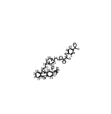 CC(=O)c1ccc(SC(C)C(=O)OCCN2CCN(CCCN3c4ccccc4Sc4ccc(C(F)(F)F)cc43)CC2)cc1